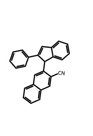 N#Cc1cc2ccccc2cc1C1C(c2ccccc2)=Cc2ccccc21